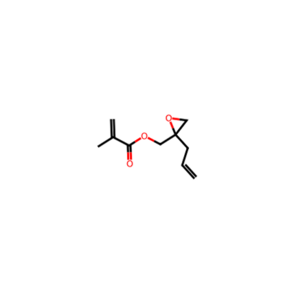 C=CCC1(COC(=O)C(=C)C)CO1